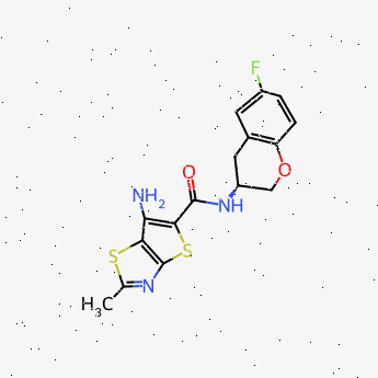 Cc1nc2sc(C(=O)N[C@@H]3COc4ccc(F)cc4C3)c(N)c2s1